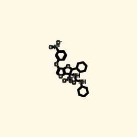 O=C(NC1CCCCC1)N[C@@]1([N+](=O)[O-])c2occ(Oc3cccc([N+](=O)[O-])c3)c2OC1C1CCCCC1